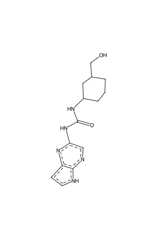 O=C(Nc1cnc2[nH]ccc2n1)NC1CCCC(CO)C1